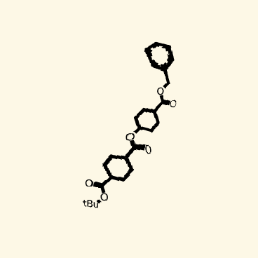 CC(C)(C)OC(=O)C1CCC(C(=O)OC2CCC(C(=O)OCc3ccccc3)CC2)CC1